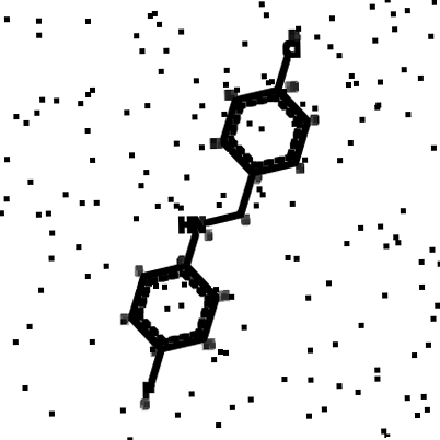 Fc1ccc(NCc2ccc(Cl)cc2)cc1